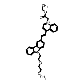 CCOC(=O)C[n+]1ccc(/C=C/c2ccc3c(c2)c2ccccc2n3CCOCCOC)c2ccccc21